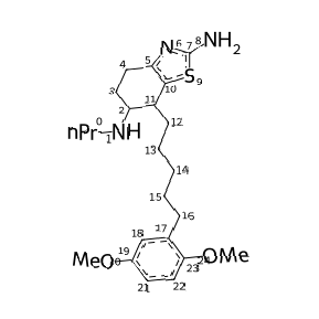 CCCNC1CCc2nc(N)sc2C1CCCCCc1cc(OC)ccc1OC